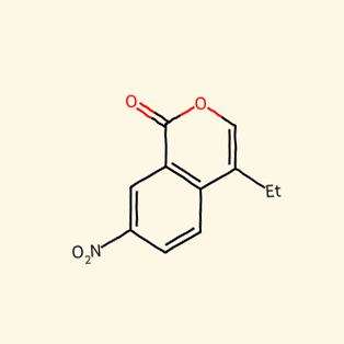 CCc1coc(=O)c2cc([N+](=O)[O-])ccc12